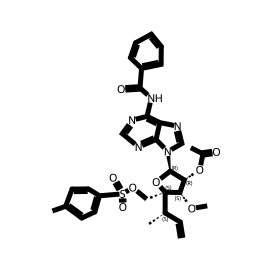 C=C[C@H](C)[C@@]1(COS(=O)(=O)c2ccc(C)cc2)O[C@@H](n2cnc3c(NC(=O)c4ccccc4)ncnc32)[C@H](OC(C)=O)[C@@H]1OC